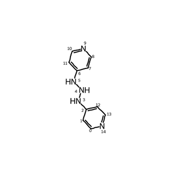 c1cc(NNNc2ccncc2)ccn1